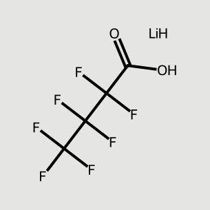 O=C(O)C(F)(F)C(F)(F)C(F)(F)F.[LiH]